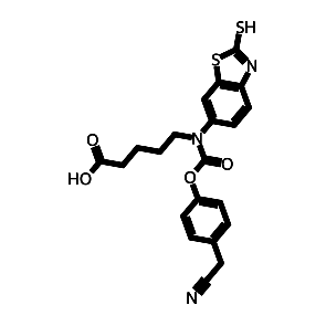 N#CCc1ccc(OC(=O)N(CCCCC(=O)O)c2ccc3nc(S)sc3c2)cc1